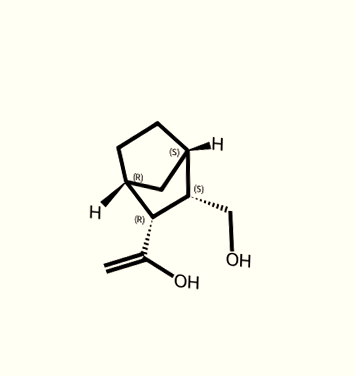 C=C(O)[C@@H]1[C@@H]2CC[C@@H](C2)[C@@H]1CO